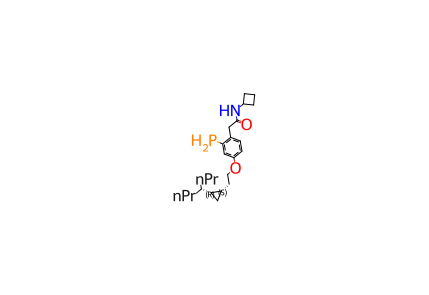 CCCC(CCC)[C@H]1C[C@H]1CCOc1ccc(CC(=O)NC2CCC2)c(P)c1